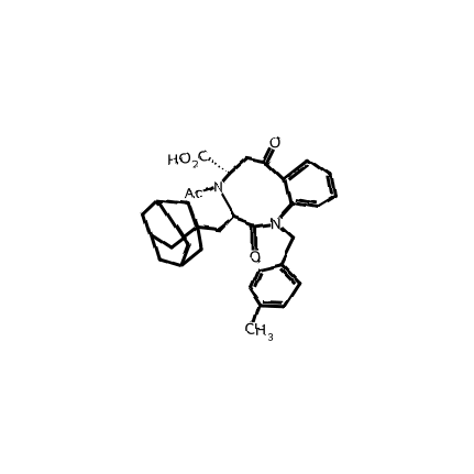 CC(=O)N1[C@H](CC23CC4CC(CC(C4)C2)C3)C(=O)N(Cc2ccc(C)cc2)c2ccccc2C(=O)C[C@H]1C(=O)O